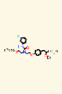 CCCCCOCCN(CCOc1ccc(CC(OCC)C(=O)O)cc1)C(=O)Nc1cccc(F)c1